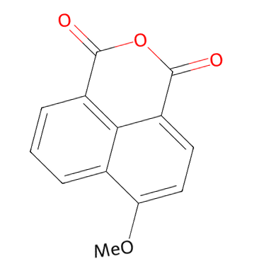 COc1ccc2c3c(cccc13)C(=O)OC2=O